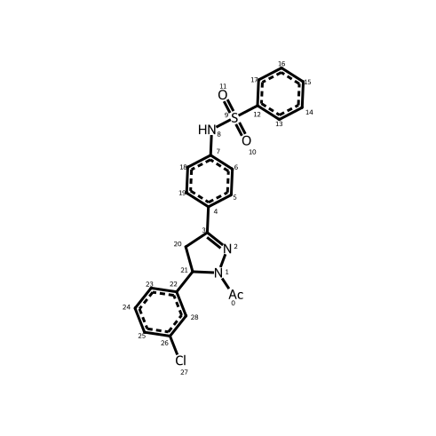 CC(=O)N1N=C(c2ccc(NS(=O)(=O)c3ccccc3)cc2)CC1c1cccc(Cl)c1